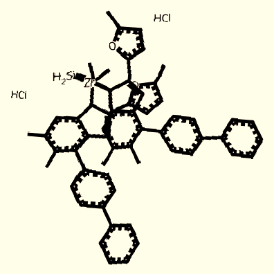 Cc1ccc(C2=Cc3c(cc(C)c(C)c3-c3ccc(-c4ccccc4)cc3)[CH]2[Zr]([CH3])([CH3])(=[SiH2])[CH]2C(c3ccc(C)o3)=Cc3c2cc(C)c(C)c3-c2ccc(-c3ccccc3)cc2)o1.Cl.Cl